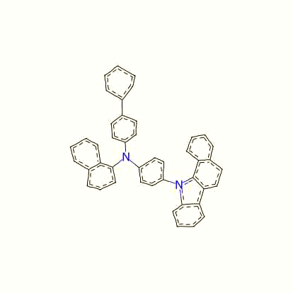 c1ccc(-c2ccc(N(c3ccc(-n4c5ccccc5c5ccc6ccccc6c54)cc3)c3cccc4ccccc34)cc2)cc1